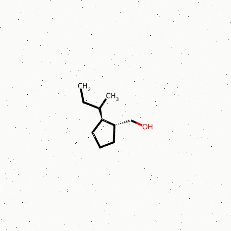 CCC(C)[C@@H]1CCC[C@H]1CO